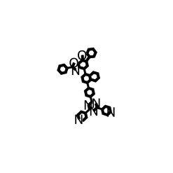 c1ccc(-c2nc3c(-c4ccc(-c5ccc(-c6nc(-c7ccncc7)nc(-c7ccncc7)n6)cc5)c5ccccc45)cc4c5ccccc5oc4c3o2)cc1